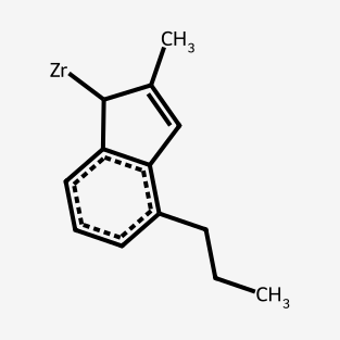 CCCc1cccc2c1C=C(C)[CH]2[Zr]